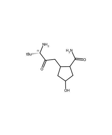 CC(C)(C)[C@H](N)C(=O)CC1CC(O)CC1C(N)=O